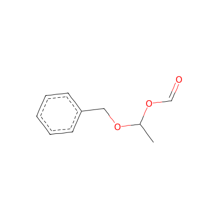 CC(OC=O)OCc1ccccc1